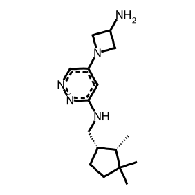 C[C@H]1[C@@H](CNc2cc(N3CC(N)C3)cnn2)CCC1(C)C